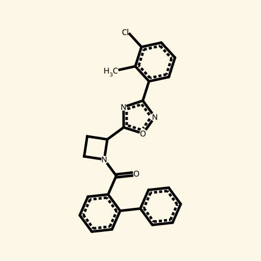 Cc1c(Cl)cccc1-c1noc(C2CCN2C(=O)c2ccccc2-c2ccccc2)n1